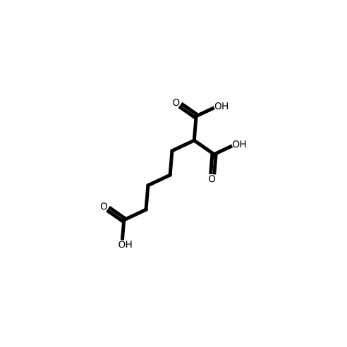 O=C(O)CCCCC(C(=O)O)C(=O)O